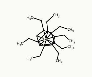 CC[C]12[CH]3[CH]4[C]5(CC)[C]1(CC)[Fe]34251678[C]2(CC)[C]1(CC)[C]6(CC)[C]7(CC)[C]28CC